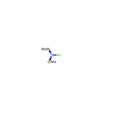 CNN(F)OC